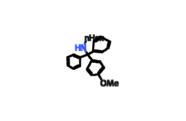 [CH2]CCCCCNC(c1ccccc1)(c1ccccc1)c1ccc(OC)cc1